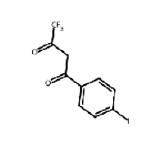 O=C(CC(=O)C(F)(F)F)c1ccc(I)cc1